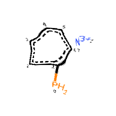 Pc1ccccc1.[N+3]